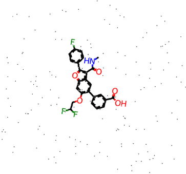 CNC(=O)c1c(-c2ccc(F)cc2)oc2cc(OCC(F)F)c(-c3cccc(C(=O)O)c3)cc12